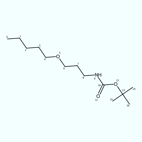 CCC[CH]COCCCNC(=O)OC(C)(C)C